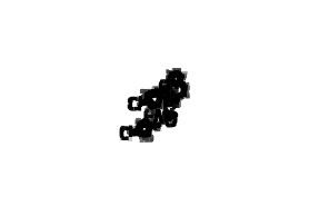 O=C(NCc1ccc(Cl)cc1)OCC1CCc2ccccc2N1S(=O)(=O)c1ccc(Cl)cc1